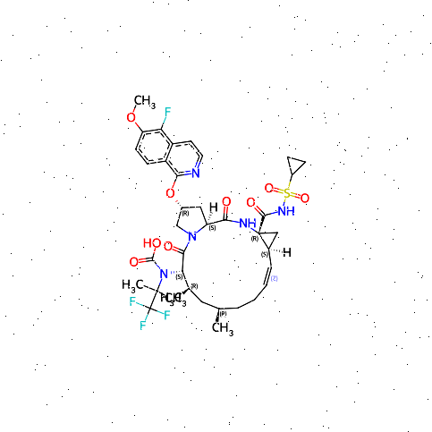 COc1ccc2c(O[C@@H]3C[C@H]4C(=O)N[C@]5(C(=O)NS(=O)(=O)C6CC6)C[C@H]5/C=C\CC[C@@H](C)C[C@@H](C)[C@H](N(C(=O)O)C(C)(C)C(F)(F)F)C(=O)N4C3)nccc2c1F